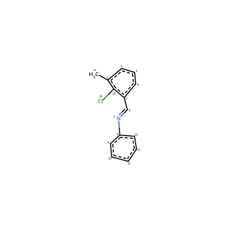 Cc1cccc(C=Nc2ccccc2)c1Cl